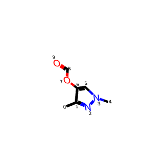 Cc1nn(C)cc1OC=O